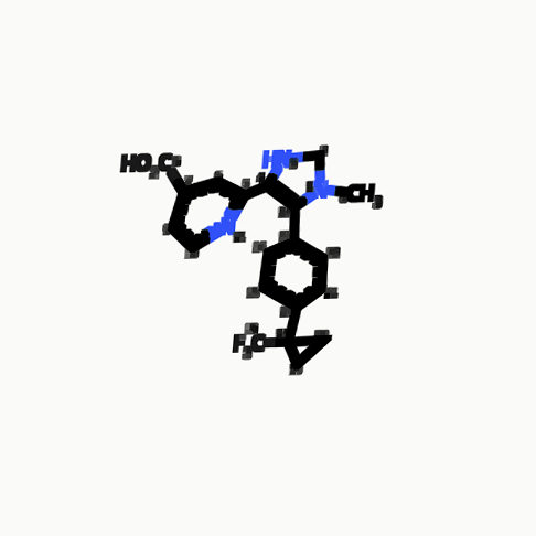 CN1CNC(c2cc(C(=O)O)ccn2)=C1c1ccc(C2(C(F)(F)F)CC2)cc1